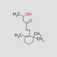 CC1=C(/C=C/C(=O)CC(C)O)C(C)(C)CCC1